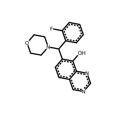 Oc1c(C(c2ccccc2F)N2CCOCC2)ccc2cncnc12